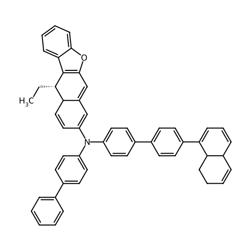 CC[C@@H]1c2c(oc3ccccc23)C=C2C=C(N(c3ccc(-c4ccccc4)cc3)c3ccc(-c4ccc(C5=CC=CC6C=CCCC56)cc4)cc3)C=CC21